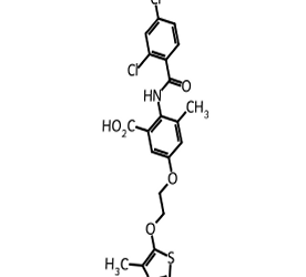 Cc1cc(OCCOc2scnc2C)cc(C(=O)O)c1NC(=O)c1ccc(Cl)cc1Cl